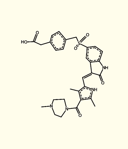 Cc1[nH]c(/C=C2\C(=O)Nc3ccc(S(=O)(=O)Cc4ccc(CC(=O)O)cc4)cc32)c(C)c1C(=O)N1CCN(C)CC1